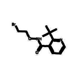 CC(C)(C)c1ncccc1C(=O)NOCCBr